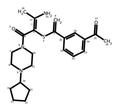 C=C(S/C(C(=O)N1CCN(C2CCCC2)CC1)=C(/C)N)c1cccc(C(C)=O)c1